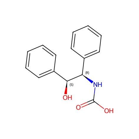 O=C(O)N[C@H](c1ccccc1)[C@@H](O)c1ccccc1